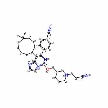 CC1(C)CCCCC(c2c(-c3ccc(C#N)cc3)nc(OCC3CCCN(CCC#N)C3)n3ccnc23)CCC1